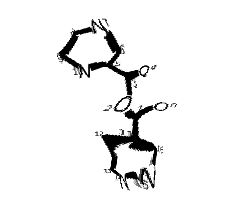 O=C(OC(=O)c1cnccn1)c1ccnnc1